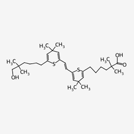 CC1(C)C=C(C=CC2=CC(C)(C)C=C(CCCCC(C)(C)C(=O)O)S2)SC(CCCCC(C)(C)CO)=C1